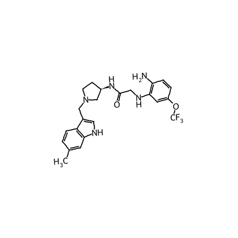 Cc1ccc2c(CN3CC[C@@H](NC(=O)CNc4cc(OC(F)(F)F)ccc4N)C3)c[nH]c2c1